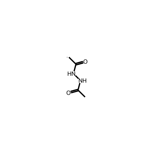 [CH2]C(=O)NNC(C)=O